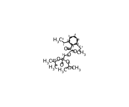 CCc1cccc(SC)c1S(=O)(=O)OCP(=O)(OC(C)C)OC(C)C